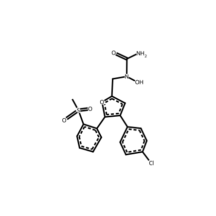 CS(=O)(=O)c1ccccc1-c1oc(CN(O)C(N)=O)cc1-c1ccc(Cl)cc1